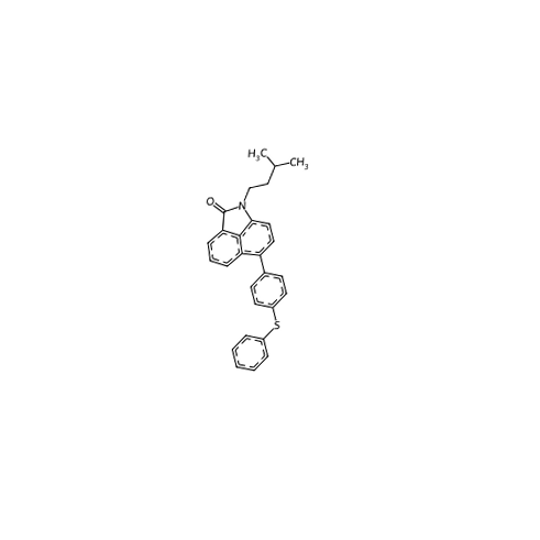 CC(C)CCN1C(=O)c2cccc3c(-c4ccc(Sc5ccccc5)cc4)ccc1c23